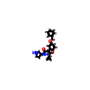 O=C(NC1CCNC1)c1c(C2CC2)oc2ccc(OCc3ccccc3)cc12